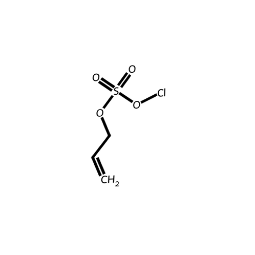 C=CCOS(=O)(=O)OCl